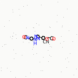 N#Cc1cc(-c2ccnc(Nc3ccc(N4CCOCC4)cc3)n2)ccc1OCC1CCOCC1